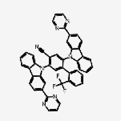 N#Cc1cc(-n2c3ccccc3c3ccc(-c4ncccn4)cc32)c(-c2ccccc2C(F)(F)F)cc1-n1c2ccccc2c2ccc(-c3ncccn3)cc21